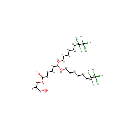 [CH2]C(CO)COC(=O)CCCCC(OCCCCCCC(F)(F)C(F)(F)F)OCCCCCCC(F)(F)C(F)(F)F